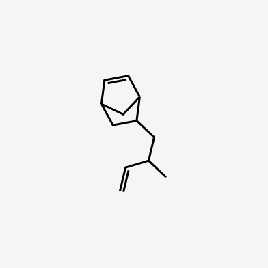 C=CC(C)CC1CC2C=CC1C2